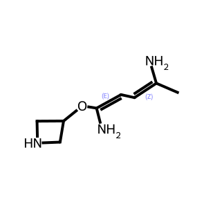 C/C(N)=C/C=C(\N)OC1CNC1